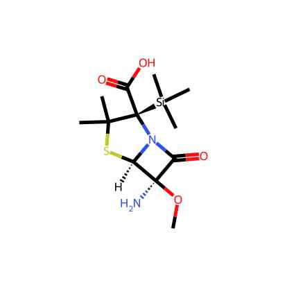 CO[C@]1(N)C(=O)N2[C@@H]1SC(C)(C)[C@@]2(C(=O)O)[Si](C)(C)C